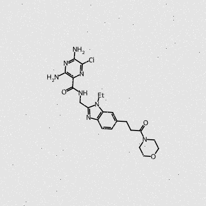 CCn1c(CNC(=O)c2nc(Cl)c(N)nc2N)nc2ccc(CCC(=O)N3CCOCC3)cc21